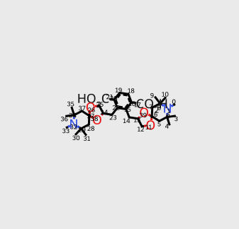 CN1C(C)(C)CC2(CC1(C)C)OCC(Cc1c(C(=O)O)ccc(C(=O)O)c1CC1COC3(CC(C)(C)N(C)C(C)(C)C3)O1)O2